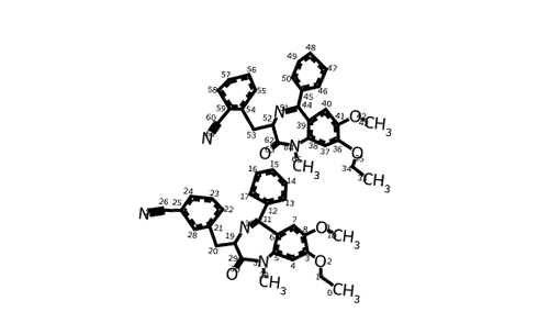 CCOc1cc2c(cc1OC)C(c1ccccc1)=NC(Cc1cccc(C#N)c1)C(=O)N2C.CCOc1cc2c(cc1OC)C(c1ccccc1)=NC(Cc1ccccc1C#N)C(=O)N2C